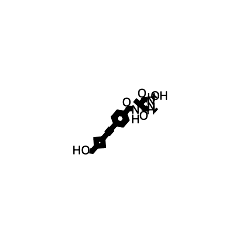 CNC(=O)C(C)(NC(=O)c1ccc(C#CC2CC(CO)C2)cc1)C(=O)NO